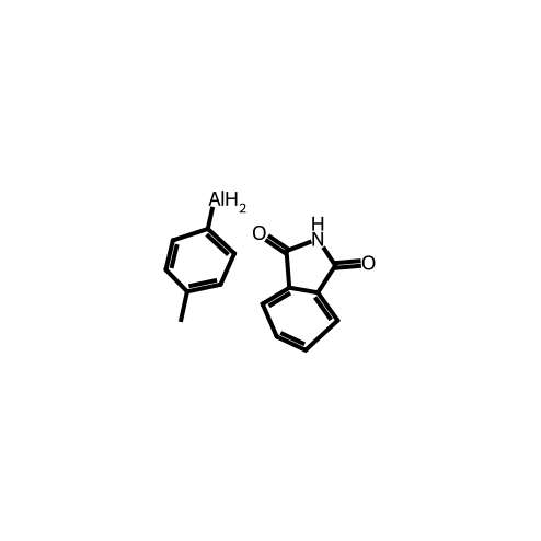 Cc1cc[c]([AlH2])cc1.O=C1NC(=O)c2ccccc21